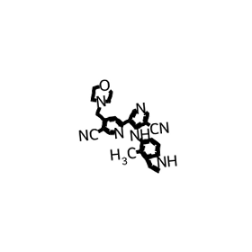 Cc1c(Nc2c(C#N)cncc2-c2cc(CN3CCOCC3)c(C#N)cn2)ccc2[nH]ccc12